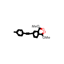 COC(=O)c1ccc(C#Cc2ccc(C)cc2)cc1C(=O)OC